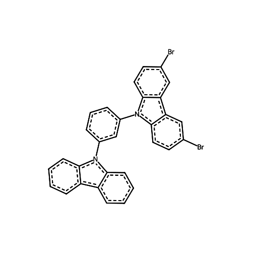 Brc1ccc2c(c1)c1cc(Br)ccc1n2-c1cccc(-n2c3ccccc3c3ccccc32)c1